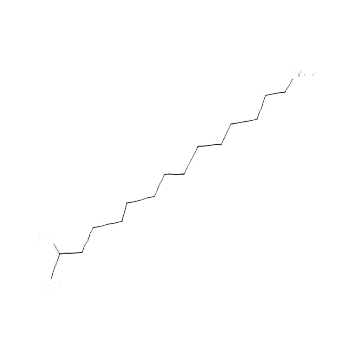 CCCCCCCCCCCCCCCCCCCCCCC(O)S